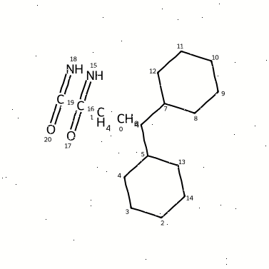 C.C.C1CCC(CC2CCCCC2)CC1.N=C=O.N=C=O